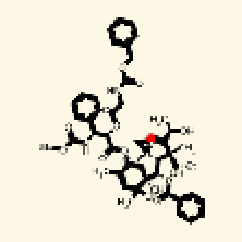 CC[C@H](O)[C@@](C)(C(=O)[C@@H](C)O)[C@H]([C@H](OC(=O)c1ccccc1)[C@]1(O)C[C@H](OC(=O)[C@H](OC(=O)CNC(=O)OCc2ccccc2)[C@@H](NC(=O)OC(C)(C)C)c2ccccc2)C(C)=CC1(C)C)[C@]1(OC(C)=O)CO1